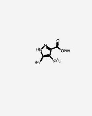 COC(=O)c1n[nH]c(C(C)C)c1N